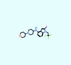 FC(F)(F)Cn1c(I)cc2c(NC3CCN(C4CCOCC4)CC3)cccc21